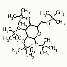 C[Si](C)(C)OCC1OC(O[Si](C)(C)C)C(O[Si](C)(C)C)C(O[Si](C)(C)C)C1O[Si](C)(C)C